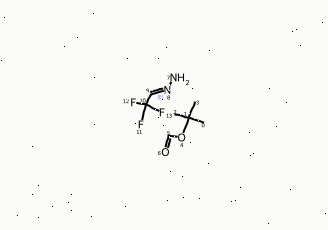 CC(C)(C)OC=O.N/N=C/C(F)(F)F